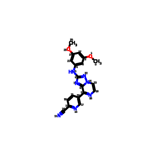 COc1cc(Nc2nc3c(-c4ccc(C#N)nc4)nccn3n2)cc(OC)c1